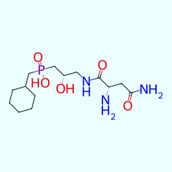 NC(=O)C[C@H](N)C(=O)NC[C@H](O)CP(=O)(O)CC1CCCCC1